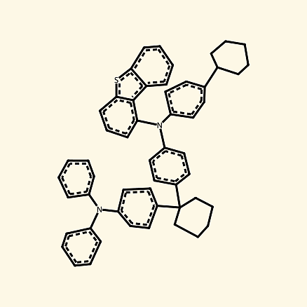 c1ccc(N(c2ccccc2)c2ccc(C3(c4ccc(N(c5ccc(C6CCCCC6)cc5)c5cccc6sc7ccccc7c56)cc4)CCCCC3)cc2)cc1